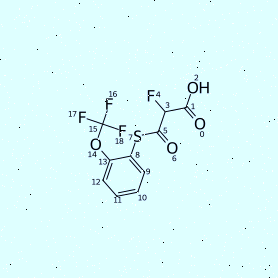 O=C(O)C(F)C(=O)Sc1ccccc1OC(F)(F)F